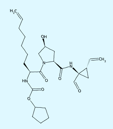 C=CCCCCC[C@H](NC(=O)OC1CCCC1)C(=O)N1C[C@@H](O)C[C@H]1C(=O)N[C@]1(C=O)C[C@H]1C=C